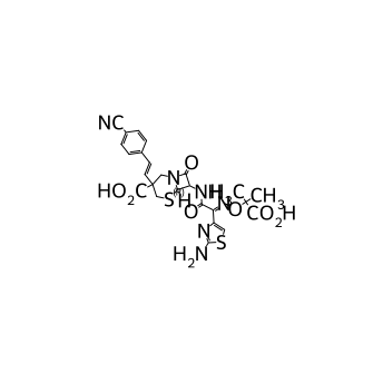 CC(C)(ON=C(C(=O)NC1C(=O)N2CC(C=Cc3ccc(C#N)cc3)(C(=O)O)CS[C@H]12)c1csc(N)n1)C(=O)O